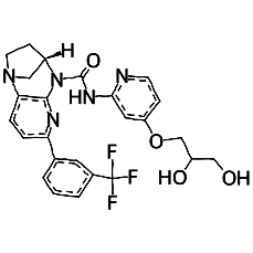 O=C(Nc1cc(OCC(O)CO)ccn1)N1c2nc(-c3cccc(C(F)(F)F)c3)ccc2N2CC[C@H]1C2